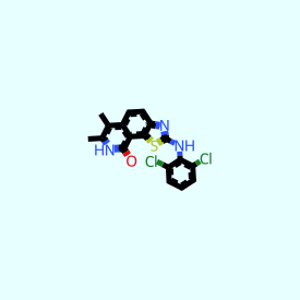 Cc1[nH]c(=O)c2c(ccc3nc(Nc4c(Cl)cccc4Cl)sc32)c1C